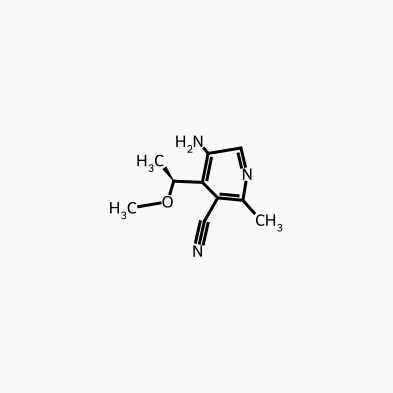 CO[C@@H](C)c1c(N)cnc(C)c1C#N